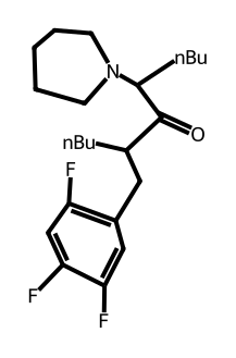 CCCCC(Cc1cc(F)c(F)cc1F)C(=O)C(CCCC)N1CCCCC1